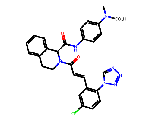 CN(C(=O)O)c1ccc(NC(=O)[C@@H]2c3ccccc3CCN2C(=O)/C=C/c2cc(Cl)ccc2-n2cnnn2)cc1